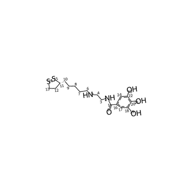 O=C(NCCNCCCCC[C@@H]1CCSS1)c1cc(O)c(O)c(O)c1